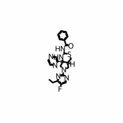 CCc1nc(N2C[C@H]3CSC(NC(=O)c4ccccc4)N[C@@]3(c3cnccn3)C2)ncc1F